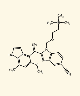 COc1cc(C)c2[nH]ccc2c1C(=N)c1nc2cc(C#N)ccc2n1COCC[Si](C)(C)C